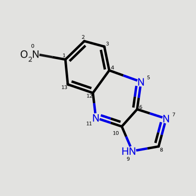 O=[N+]([O-])c1ccc2nc3nc[nH]c3nc2c1